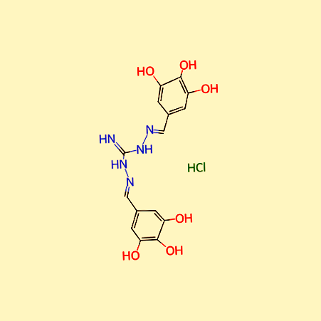 Cl.N=C(NN=Cc1cc(O)c(O)c(O)c1)NN=Cc1cc(O)c(O)c(O)c1